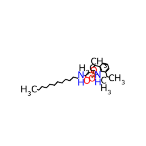 CCCCCCCCCCCCNC(=O)CS(=O)(=O)Nc1c(C(C)C)cccc1C(C)C